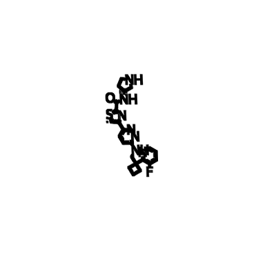 O=C(N[C@H]1CCNC1)c1nc(-c2ccc(NCC3(c4ncccc4F)CCC3)nn2)[c]s1